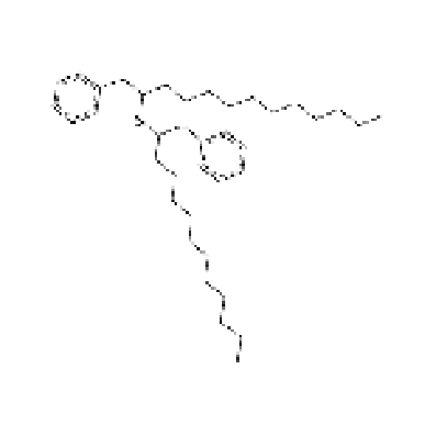 CCCCCCCCCCCC(Cc1ccccc1)SC(CCCCCCCCCCC)Cc1ccccc1